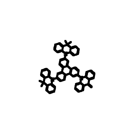 C=C1c2ccccc2N(c2ccc3c(c2)c2ccc(N4c5ccccc5C(C)(C)c5ccccc54)cc2c2ccc(N4c5ccccc5C(C)(C)c5ccccc54)cc32)c2ccccc21